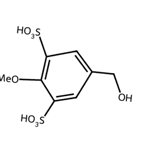 COc1c(S(=O)(=O)O)cc(CO)cc1S(=O)(=O)O